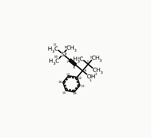 CC(C)(C)C(O)(C#CS(C)(C)C)c1ccccc1